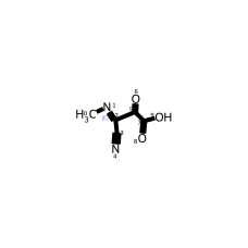 C/N=C(\C#N)C(=O)C(=O)O